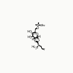 CC(C)(C)[Si](C)(C)OC[C@H]1O[C@@H]2SC(N(CCF)C(=O)O)=N[C@@H]2[C@@H](O)[C@@H]1O